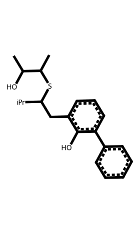 CC(C)C(Cc1cccc(-c2ccccc2)c1O)SC(C)C(C)O